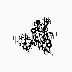 CCN1CCC(=O)[C@H]1C(=O)NC(=O)[C@H](CCCNC(=N)N)NC(=O)[C@H](CC(C)C)NC(=O)[C@@H](CC(C)C)NC(=O)[C@H](Cc1ccc(OC(C)=O)cc1)NC(=O)[C@H](CO)NC(=O)[C@H](Cc1c[nH]c2ccccc12)NC(=O)[C@H](Cc1c[nH]cn1)NC(=O)[C@@H]1CCCN1